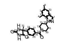 Cc1cc(C)c2c(cnn2C2CCN(C(=O)c3ccc([C@@]4(C)NC(=O)NC4=O)cc3)CC2)c1